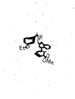 CCOc1cccc([C@@H](C)NCc2cc(-c3cccc(C(=O)OC)c3C)c3ccccc3c2)c1